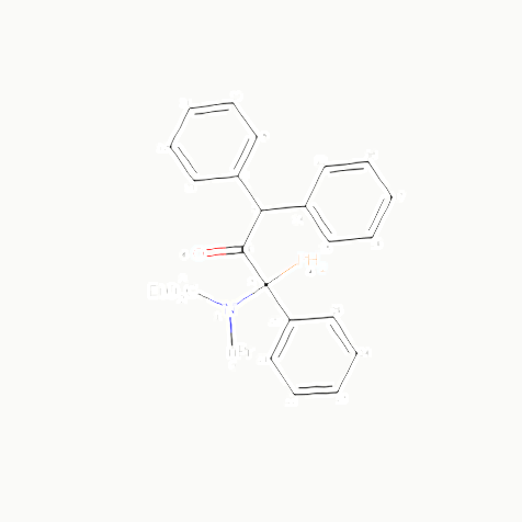 CCCN(C(=O)OCC)C(P)(C(=O)C(c1ccccc1)c1ccccc1)c1ccccc1